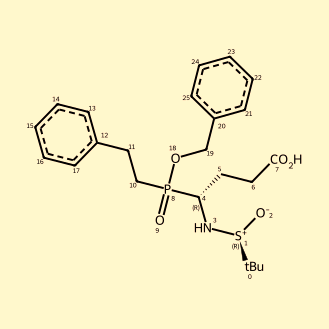 CC(C)(C)[S@+]([O-])N[C@@H](CCC(=O)O)P(=O)(CCc1ccccc1)OCc1ccccc1